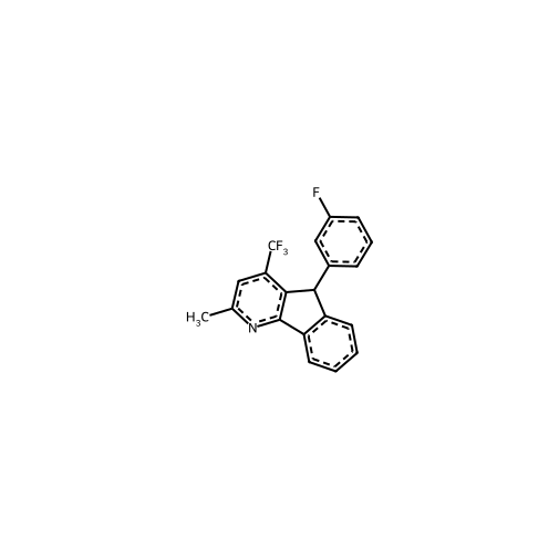 Cc1cc(C(F)(F)F)c2c(n1)-c1ccccc1C2c1cccc(F)c1